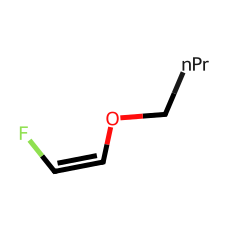 CCCCO/C=C\F